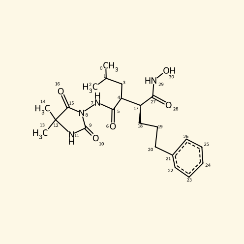 CC(C)CC(C(=O)NN1C(=O)NC(C)(C)C1=O)[C@H](CCCc1ccccc1)C(=O)NO